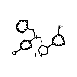 CC(C)c1cccc(C2CNC[C@@H]2CN(Cc2ccccc2)c2ccc(Cl)cc2)c1